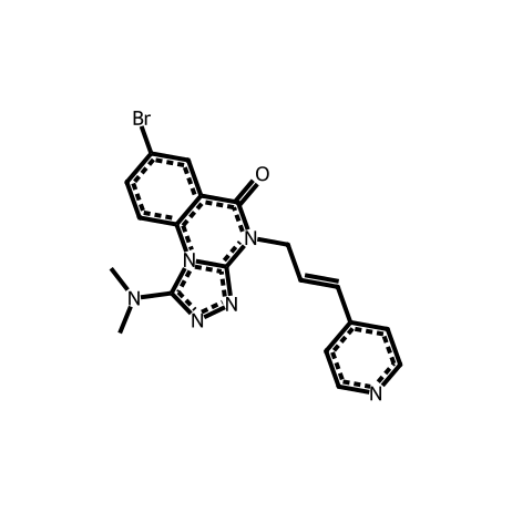 CN(C)c1nnc2n(C/C=C/c3ccncc3)c(=O)c3cc(Br)ccc3n12